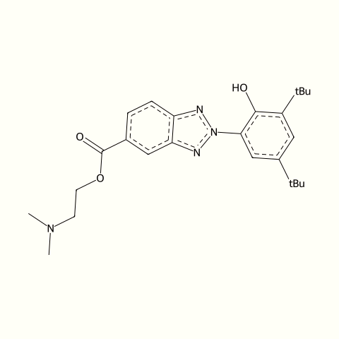 CN(C)CCOC(=O)c1ccc2nn(-c3cc(C(C)(C)C)cc(C(C)(C)C)c3O)nc2c1